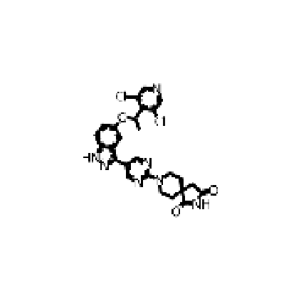 CC(Oc1ccc2[nH]nc(-c3cnc(N4CCC5(CC4)CC(=O)NC5=O)nc3)c2c1)c1c(Cl)cncc1Cl